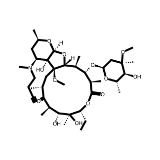 C#CCCN(C)[C@H]1C[C@@H](C)O[C@H]2O[C@@H]3[C@@H](C)[C@H](O[C@H]4C[C@@](C)(OC)[C@@H](O)[C@H](C)O4)[C@@H](C)C(=O)O[C@H](CC)[C@@](C)(O)[C@H](O)[C@@H](C)C(=O)[C@H](C)C[C@]3(OC)[C@]21O